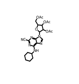 CC(=O)OCC1OC(n2cnc3c(NC4CCCCC4)nc(C#N)nc32)C(OC(C)=O)C1OC(C)=O